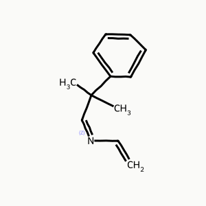 C=C/N=C\C(C)(C)c1ccccc1